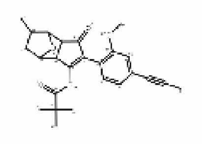 CC#Cc1ccc(C2=C(OC(=O)C(C)(C)C)C3C4CC(C)C(O4)C3C2=O)c(OC)c1